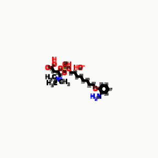 C[N+](C)(C)CC(CC(=O)O)OP(=O)(O)OCCCCCCCCOc1ccccc1N.[OH-]